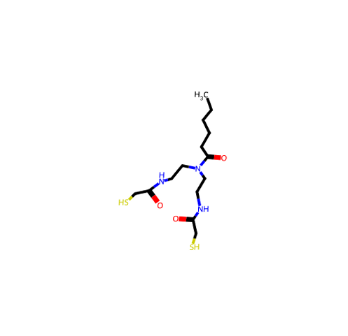 CCCCCC(=O)N(CCNC(=O)CS)CCNC(=O)CS